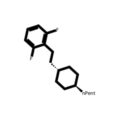 CCCCC[C@H]1CC[C@H](CCc2c(F)cccc2F)CC1